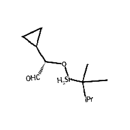 CC(C)C(C)(C)[SiH2]O[C@H](C=O)C1CC1